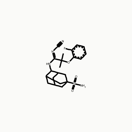 CC(C)(Oc1ccccc1F)/C(=N\C#N)NC1C2CC3CC1CC(S(N)(=O)=O)(C3)C2